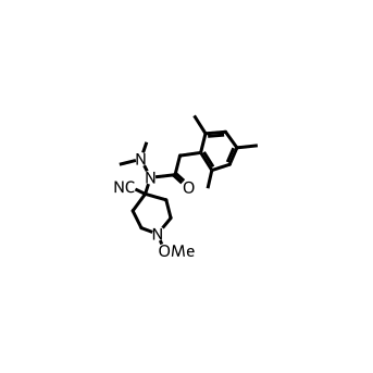 CON1CCC(C#N)(N(C(=O)Cc2c(C)cc(C)cc2C)N(C)C)CC1